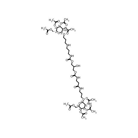 CC(=O)N[C@H]1[C@H](OCCCNCCCNC(=O)OCC(O)COC(=O)NCCC(=O)NCCCO[C@@H]2O[C@H](COC(C)=O)[C@H](OC(C)=O)[C@H](OC(C)=O)[C@H]2NC(C)=O)O[C@H](COC(C)=O)[C@H](OC(C)=O)[C@@H]1OC(C)=O